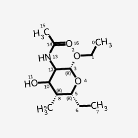 CCO[C@@H]1O[C@H](CC)[C@H](C)C(O)C1NC(C)=O